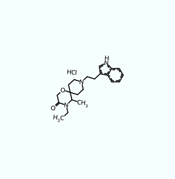 CCN1C(=O)COC2(CCN(CCc3c[nH]c4ccccc34)CC2)C1C.Cl